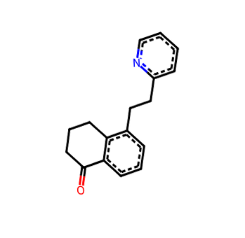 O=C1CCCc2c(CCc3ccccn3)cccc21